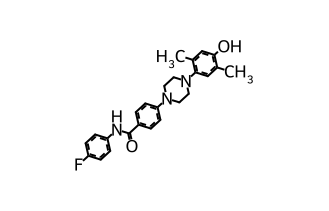 Cc1cc(N2CCN(c3ccc(C(=O)Nc4ccc(F)cc4)cc3)CC2)c(C)cc1O